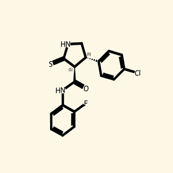 O=C(Nc1ccccc1F)[C@H]1C(=S)NC[C@@H]1c1ccc(Cl)cc1